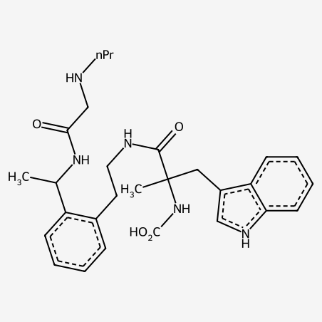 CCCNCC(=O)NC(C)c1ccccc1CCNC(=O)C(C)(Cc1c[nH]c2ccccc12)NC(=O)O